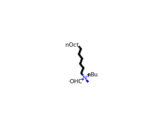 CCCCCCCCCCCCCC[N+](C)([C]=O)CCCC